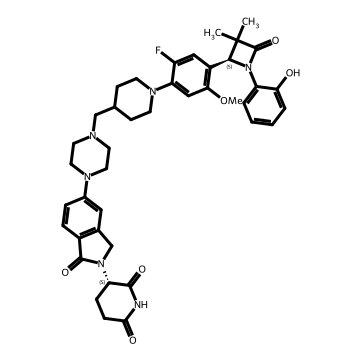 COc1cc(N2CCC(CN3CCN(c4ccc5c(c4)CN([C@H]4CCC(=O)NC4=O)C5=O)CC3)CC2)c(F)cc1[C@@H]1N(c2ccccc2O)C(=O)C1(C)C